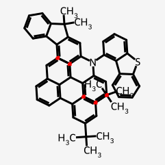 CC(C)(C)c1cc(-c2cccc3cccc(-c4ccccc4N(c4ccc5c(c4)C(C)(C)c4ccccc4-5)c4cccc5sc6ccccc6c45)c23)cc(C(C)(C)C)c1